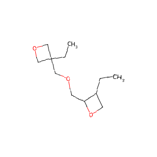 CCC1COC1COCC1(CC)COC1